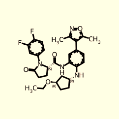 CCO[C@@H]1CC[C@@H](Nc2ccc(-c3c(C)noc3C)cc2NC(=O)[C@@H]2CCC(=O)N2c2ccc(F)c(F)c2)C1